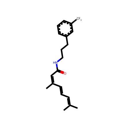 CC(C)=C/C=C/C(C)=C\C(=O)NCCCc1cccc(C(F)(F)F)c1